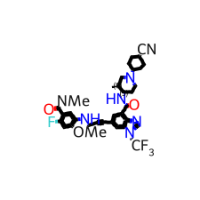 CNC(=O)c1cc(NCC#Cc2cc(C(=O)N[C@H]3CCN(C4CCC(C#N)CC4)C[C@@H]3C)c3ncn(CC(F)(F)F)c3c2)c(OC)cc1F